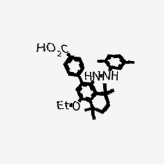 CCOc1cc(-c2ccc(C(=O)O)cc2)c(NNc2cc(C)ccc2C)c2c1C(C)(C)CCC2(C)C